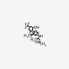 CNCC(=O)Nc1cc(C(C)(C)C)c(-c2ccc(C(F)(F)F)cc2O)nn1